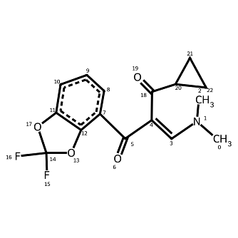 CN(C)C=C(C(=O)c1cccc2c1OC(F)(F)O2)C(=O)C1CC1